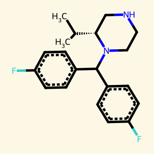 CC(C)[C@@H]1CNCCN1C(c1ccc(F)cc1)c1ccc(F)cc1